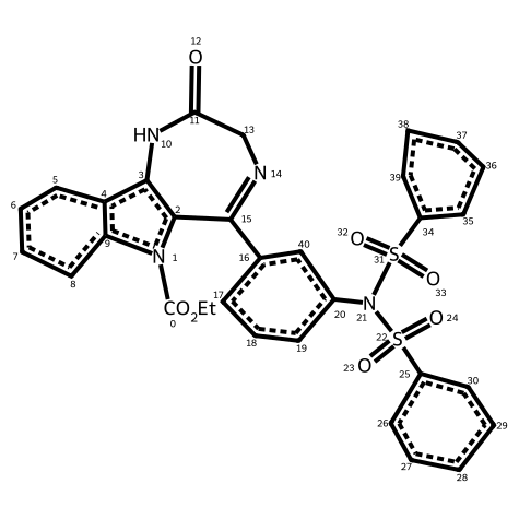 CCOC(=O)n1c2c(c3ccccc31)NC(=O)CN=C2c1cccc(N(S(=O)(=O)c2ccccc2)S(=O)(=O)c2ccccc2)c1